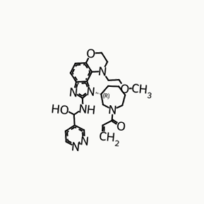 C=CC(=O)N1CCCC[C@@H](n2c(NC(O)c3ccnnc3)nc3ccc4c(c32)N(CCOC)CCO4)C1